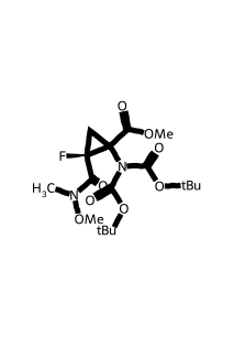 COC(=O)C1(N(C(=O)OC(C)(C)C)C(=O)OC(C)(C)C)C[C@@]1(F)C(=O)N(C)OC